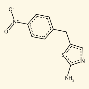 Nc1ncc(Cc2ccc([N+](=O)[O-])cc2)s1